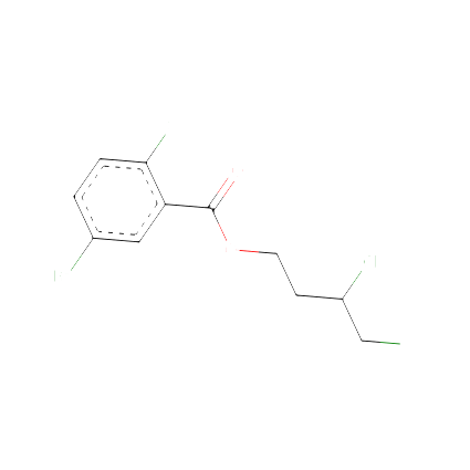 O=C(OCCC(Cl)CCl)c1cc(Br)ccc1Cl